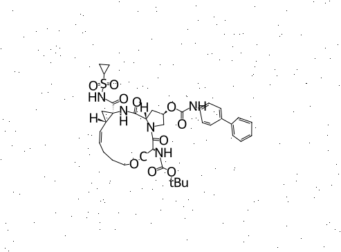 CC(C)(C)OC(=O)N[C@H]1COCCC/C=C\[C@@H]2C[C@@]2(C(=O)NS(=O)(=O)C2CC2)NC(=O)[C@@H]2C[C@@H](OC(=O)Nc3ccc(-c4ccccc4)cc3)CN2C1=O